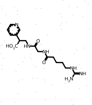 N=C(N)NCCCCC(=O)NCC(=O)NCC(C(=O)O)c1cccnc1